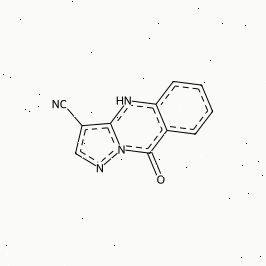 N#Cc1cnn2c(=O)c3ccccc3[nH]c12